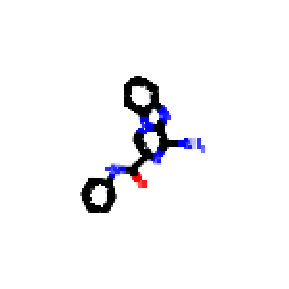 Nc1nc(C(=O)Nc2ccccc2)cn2c1nc1ccccc12